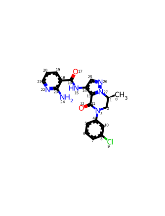 C[C@H]1CN(c2cccc(Cl)c2)C(=O)c2c(NC(=O)c3cccnc3N)cnn21